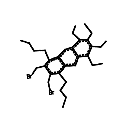 CCCCc1c(CBr)c(CBr)c(CCCC)c2cc3c(CC)c(CC)c(CC)c(CC)c3cc12